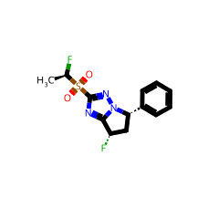 C[C@@H](F)S(=O)(=O)c1nc2n(n1)[C@H](c1ccccc1)C[C@@H]2F